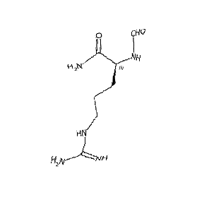 N=C(N)NCCC[C@H](NC=O)C(N)=O